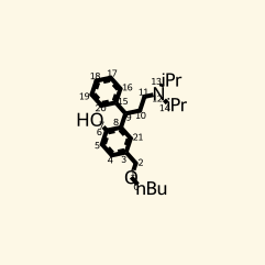 CCCCOCc1ccc(O)c(C(CCN(C(C)C)C(C)C)c2ccccc2)c1